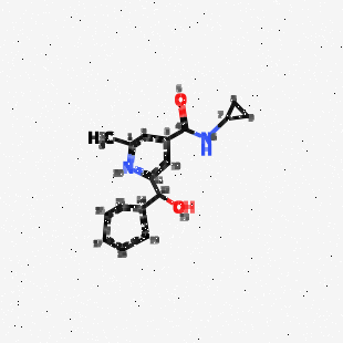 Cc1cc(C(=O)NC2CC2)cc(C(O)c2ccccc2)n1